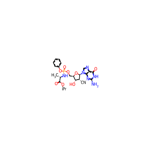 CC(C)OC(=O)[C@H](C)NP(=O)(OC[C@H]1O[C@@H](n2cnc3c(=O)[nH]c(N)nc32)[C@H](C#N)[C@@H]1O)Oc1ccccc1